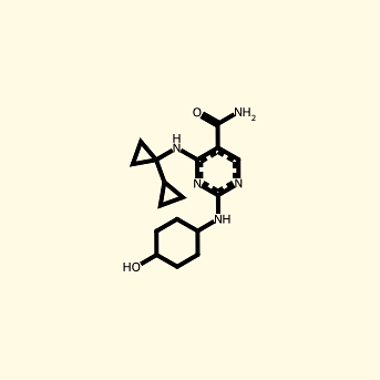 NC(=O)c1cnc(NC2CCC(O)CC2)nc1NC1(C2CC2)CC1